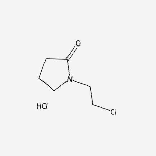 Cl.O=C1CCCN1CCCl